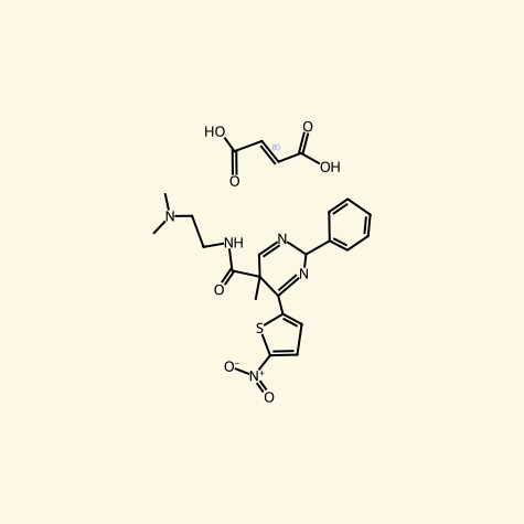 CN(C)CCNC(=O)C1(C)C=NC(c2ccccc2)N=C1c1ccc([N+](=O)[O-])s1.O=C(O)/C=C/C(=O)O